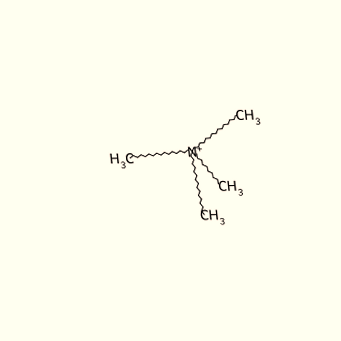 CCCCCCCCCCCCCCCC[N+](CCCCCCCCCCC)(CCCCCCCCCCCCCCCC)CCCCCCCCCCCCCCCC